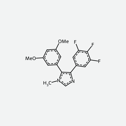 COc1cc(OC)cc(-c2c(-c3cc(F)c(F)c(F)c3)ncn2C)c1